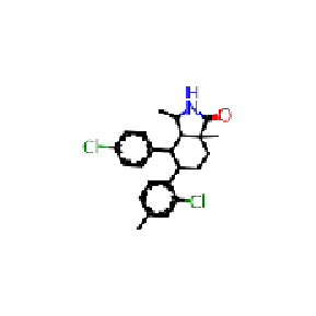 Cc1ccc(C2CCC3(C)C(=O)NC(C)C3C2c2ccc(Cl)cc2)c(Cl)c1